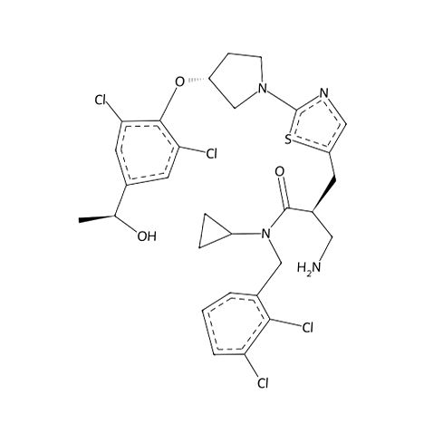 C[C@H](O)c1cc(Cl)c(O[C@@H]2CCN(c3ncc(C[C@@H](CN)C(=O)N(Cc4cccc(Cl)c4Cl)C4CC4)s3)C2)c(Cl)c1